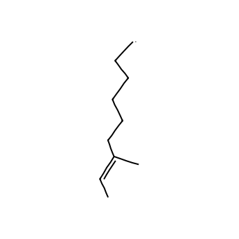 [CH2]CCCCC/C(C)=C/C